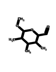 COC1OC(C=O)C(C)C(C)C1C